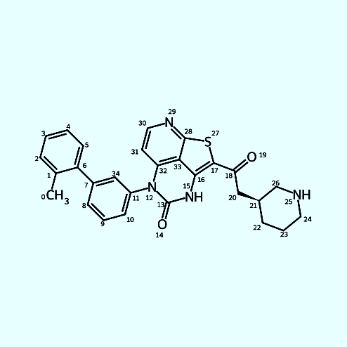 Cc1ccccc1-c1cccc(N2C(=O)Nc3c(C(=O)C[C@@H]4CCCNC4)sc4nccc2c34)c1